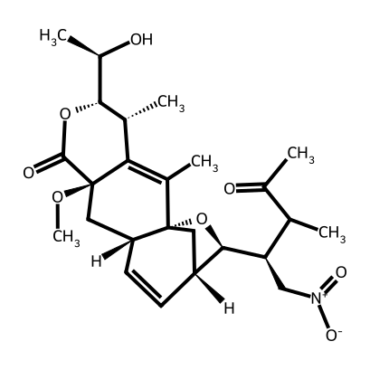 CO[C@]12C[C@H]3C=C[C@@H]4C[C@]3(O[C@H]4[C@H](C[N+](=O)[O-])C(C)C(C)=O)C(C)=C1[C@@H](C)[C@@H]([C@@H](C)O)OC2=O